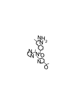 CC(=O)c1ccc(CN(C(=O)c2ccc3nc(N)c(C)cc3c2)C(C)c2ncccn2)nc1